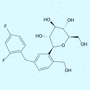 OCc1ccc(Cc2ccc(F)cc2F)cc1[C@@H]1O[C@H](CO)[C@@H](O)[C@H](O)[C@H]1O